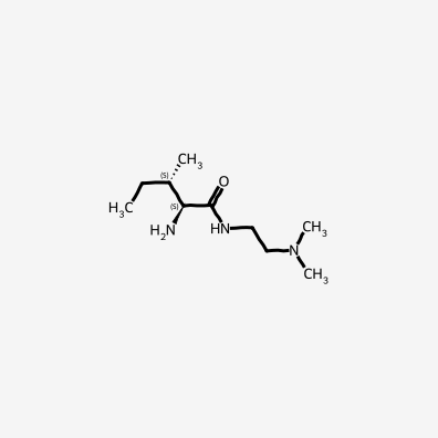 CC[C@H](C)[C@H](N)C(=O)NCCN(C)C